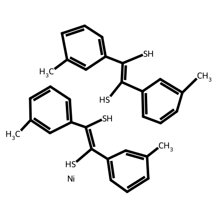 Cc1cccc(C(S)=C(S)c2cccc(C)c2)c1.Cc1cccc(C(S)=C(S)c2cccc(C)c2)c1.[Ni]